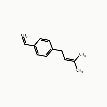 C=Cc1ccc(CC=C(C)C)cc1